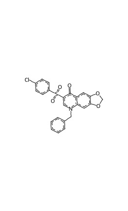 O=c1c(S(=O)(=O)c2ccc(Cl)cc2)cn(Cc2ccccc2)c2cc3c(cc12)OCO3